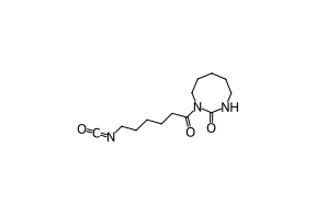 O=C=NCCCCCC(=O)N1CCCCCNC1=O